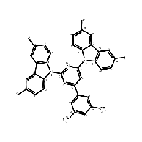 Cc1ccc2c(c1)c1cc(C)ccc1n2-c1cc(-c2cc(C(F)(F)F)cc(C(F)(F)F)c2)cc(-n2c3ccc(C)cc3c3cc(C)ccc32)n1